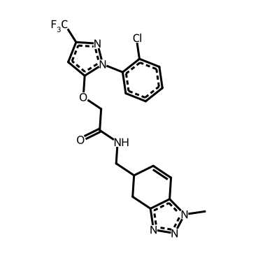 Cn1nnc2c1C=CC(CNC(=O)COc1cc(C(F)(F)F)nn1-c1ccccc1Cl)C2